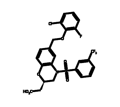 O=C(O)C[C@H]1CN(S(=O)(=O)c2cccc(C(F)(F)F)c2)c2cc(COc3c(F)cccc3Cl)ccc2O1